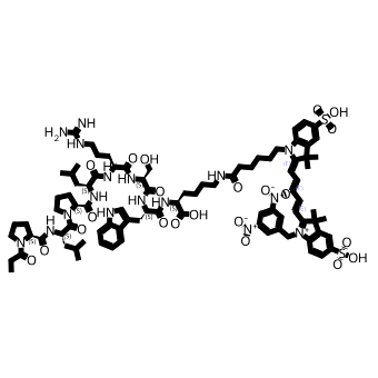 CCC(=O)N1CCC[C@H]1C(=O)N[C@@H](CC(C)C)C(=O)N1CCC[C@H]1C(=O)N[C@@H](CC(C)C)C(=O)N[C@@H](CCCNC(=N)N)C(=O)N[C@@H](CO)C(=O)N[C@@H](Cc1c[nH]c2ccccc12)C(=O)N[C@@H](CCCCNC(=O)CCCCCN1/C(=C/C=C/C=C/C2=[N+](Cc3cc([N+](=O)[O-])cc([N+](=O)[O-])c3)c3ccc(S(=O)(=O)O)cc3C2(C)C)C(C)(C)c2cc(S(=O)(=O)O)ccc21)C(=O)O